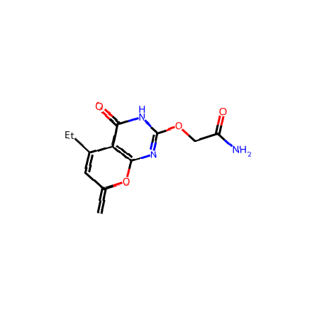 C=C1C=C(CC)c2c(nc(OCC(N)=O)[nH]c2=O)O1